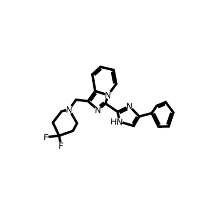 FC1(F)CCN(Cc2nc(-c3nc(-c4ccccc4)c[nH]3)n3ccccc23)CC1